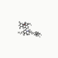 CN1C=C(c2ccc(N)c([N+](=O)[O-])c2Oc2ccc(F)cc2F)/C(=C/NCOCC[Si](C)(C)C)C(=N)C1=O